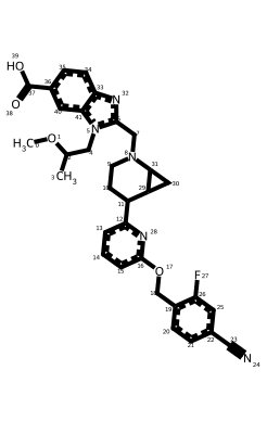 COC(C)Cn1c(CN2CCC(c3cccc(OCc4ccc(C#N)cc4F)n3)C3CC32)nc2ccc(C(=O)O)cc21